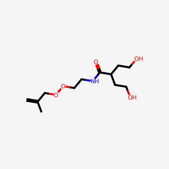 C=C(C)COOCCNC(=O)C(CCO)CCO